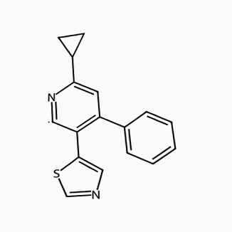 [c]1nc(C2CC2)cc(-c2ccccc2)c1-c1cncs1